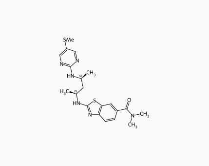 CSc1cnc(N[C@@H](C)C[C@H](C)Nc2nc3ccc(C(=O)N(C)C)cc3s2)nc1